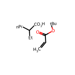 C=CC(=O)OC(C)(C)C.CCCC(CC)C(=O)O